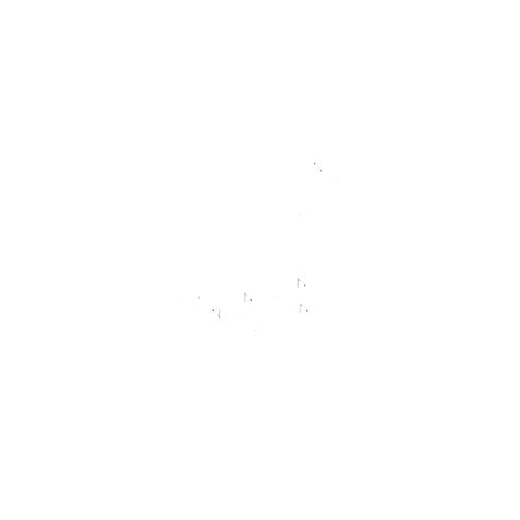 NC/C=C/c1ccn2ncc(N3CCC(=O)N(CO)C3=O)c2c1